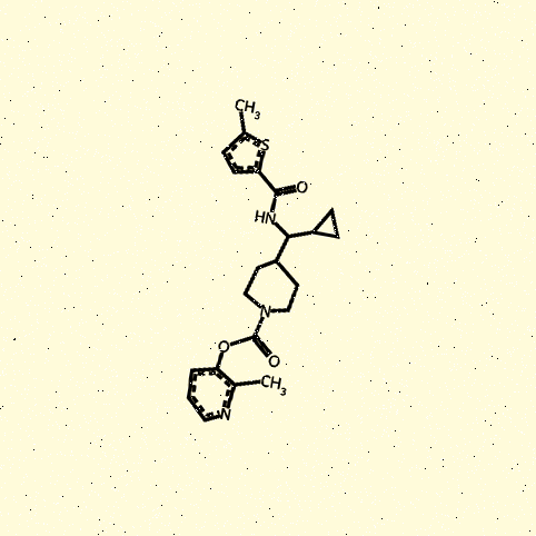 Cc1ccc(C(=O)NC(C2CC2)C2CCN(C(=O)Oc3cccnc3C)CC2)s1